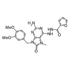 COc1ccc(Cn2c(=O)n(C)c3c(NNC(=O)c4ccco4)nc(N)nc32)cc1OC